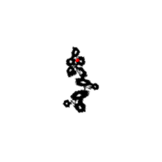 c1ccc(-n2c3ccccc3c3cc(-n4c5ccccc5c5cc(-c6cccc([Si](c7ccccc7)(c7ccccc7)c7cccc8c7sc7ccccc78)n6)ccc54)ccc32)cc1